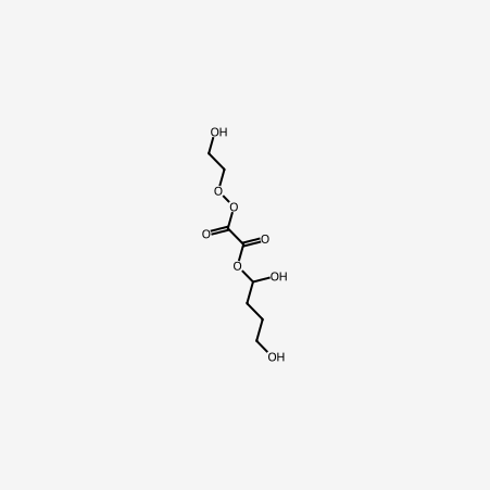 O=C(OOCCO)C(=O)OC(O)CCCO